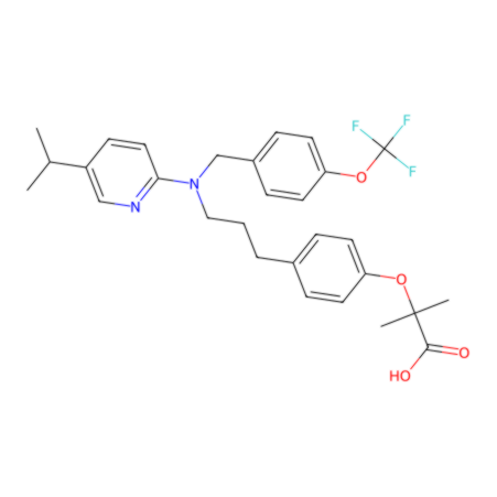 CC(C)c1ccc(N(CCCc2ccc(OC(C)(C)C(=O)O)cc2)Cc2ccc(OC(F)(F)F)cc2)nc1